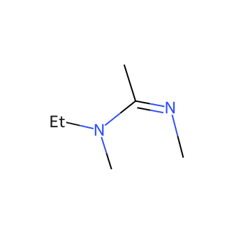 CCN(C)/C(C)=N\C